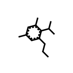 CCCc1cc(C)cc(C)c1C(C)C